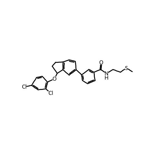 CSCCNC(=O)c1cccc(-c2ccc3c(c2)C(Oc2ccc(Cl)cc2Cl)CC3)c1